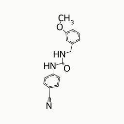 COc1cccc(CNC(=O)Nc2ccc(C#N)cc2)c1